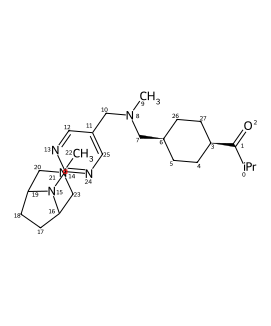 CC(C)C(=O)[C@H]1CC[C@@H](CN(C)Cc2cnc(N3C4CCC3CN(C)C4)nc2)CC1